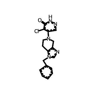 O=c1[nH]ncc(N2CCc3c(ncn3Cc3ccccc3)C2)c1Cl